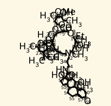 CC[C@H]1OC(=O)[C@H](C)[C@@H](O[C@@H]2C[C@](C)(OC)[C@H](O)C(C)O2)[C@H](C)[C@@H](O[C@@H]2O[C@H](C)C[C@@H](N(C)C)[C@H]2O)[C@](C)(O)C[C@@H](C)CN(CCCNC(=O)[C@@]2(O)CCC3C4CCC5=CC(=O)CC[C@]5(C)C4[C@@H](O)C[C@@]32C)[C@H](C)[C@@H](O)[C@]1(C)O